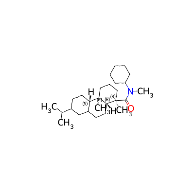 CC(C)C1CC[C@H]2C(CC[C@@H]3[C@]2(C)CCC[C@@]3(C)C(=O)N(C)C2CCCCC2)C1